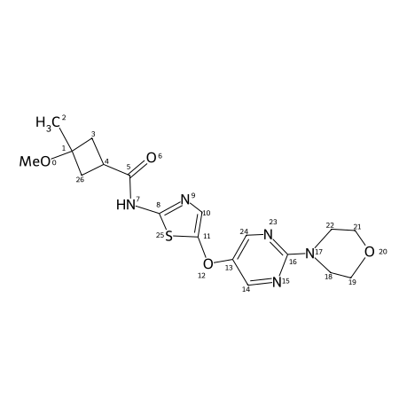 COC1(C)CC(C(=O)Nc2ncc(Oc3cnc(N4CCOCC4)nc3)s2)C1